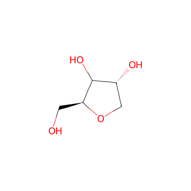 OC[C@@H]1OC[C@@H](O)C1O